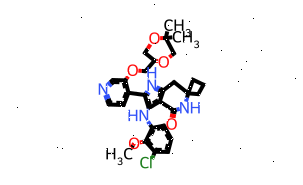 COc1c(Cl)cccc1Nc1c(-c2ccncc2OCC2COC(C)(C)CO2)[nH]c2c1C(=O)NC1(CCC1)C2